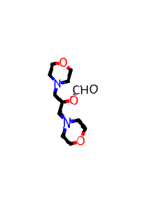 O=COC(CN1CCOCC1)CN1CCOCC1